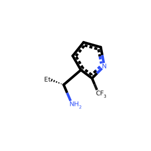 CC[C@@H](N)c1cccnc1C(F)(F)F